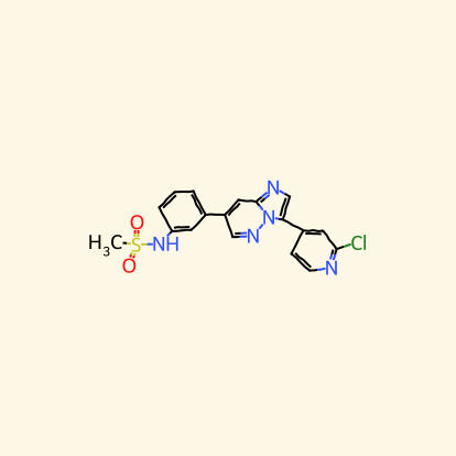 CS(=O)(=O)Nc1cccc(-c2cnn3c(-c4ccnc(Cl)c4)cnc3c2)c1